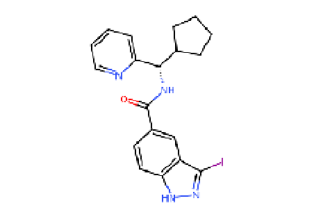 O=C(N[C@H](c1ccccn1)C1CCCC1)c1ccc2[nH]nc(I)c2c1